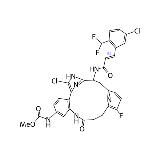 COC(=O)Nc1ccc2c(c1)NC(=O)CCc1nc(ccc1F)CC(NC(=O)/C=C/c1cc(Cl)ccc1C(F)F)c1nc-2c(Cl)[nH]1